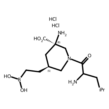 CC(C)CC(N)C(=O)N1C[C@@H](CCB(O)O)C[C@](N)(C(=O)O)C1.Cl.Cl